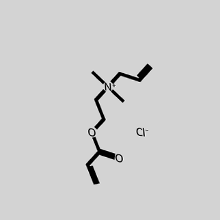 C=CC[N+](C)(C)CCOC(=O)C=C.[Cl-]